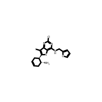 N[C@@H]1CC=CC[C@H]1c1sc2c(NCc3ccco3)nc(Cl)nc2c1I